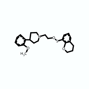 COc1ccccc1C1CCN(CCOSc2cccc3c2OCCC3)CC1